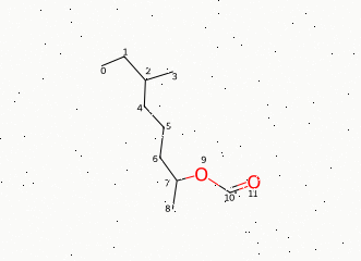 CCC(C)CCCC(C)O[C]=O